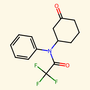 O=C1CCCC(N(C(=O)C(F)(F)F)c2ccccc2)C1